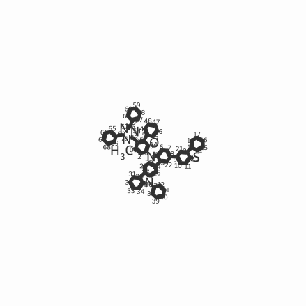 Cc1cc(-n2c3ccc(-c4ccc5sc6ccccc6c5c4)cc3c3cc4c(cc32)c2ccccc2n4-c2ccccc2)c2oc3ccccc3c2c1-c1nc(-c2ccccc2)nc(-c2ccccc2)n1